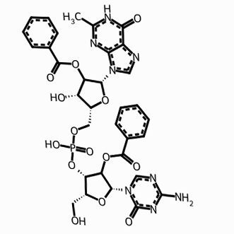 Cc1nc2c(ncn2[C@@H]2O[C@H](COP(=O)(O)O[C@@H]3C(OC(=O)c4ccccc4)[C@H](n4cnc(N)nc4=O)O[C@@H]3CO)[C@H](O)C2OC(=O)c2ccccc2)c(=O)[nH]1